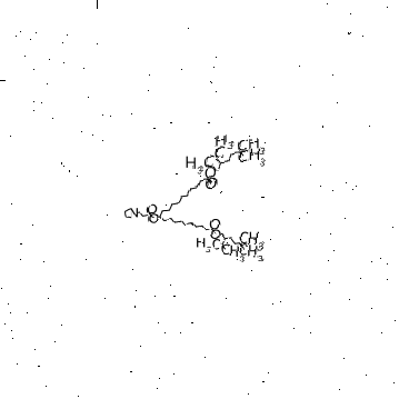 CC(C)CCC(COC(=O)CCCCCCCCCC(CCCCCCCCCC(=O)OCC(CCC(C)C)C(C)C)OC(=O)CCN1CCCC1)C(C)C